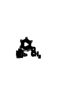 COc1ccccc1.[Br-].[Br-].[Ru+2]